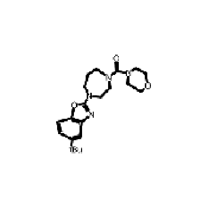 CC(C)(C)c1ccc2oc(N3CCCN(C(=O)N4CCOCC4)CC3)nc2c1